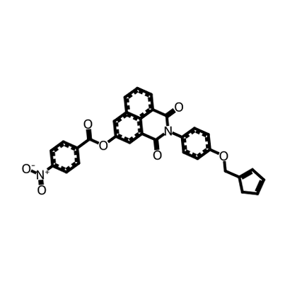 O=C(Oc1cc2c3c(cccc3c1)C(=O)N(c1ccc(OCC3=CC=CC3)cc1)C2=O)c1ccc([N+](=O)[O-])cc1